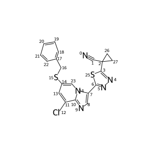 N#CC1(c2nnc(-c3cnc4c(Cl)cc(SCc5ccccc5)cn34)s2)CC1